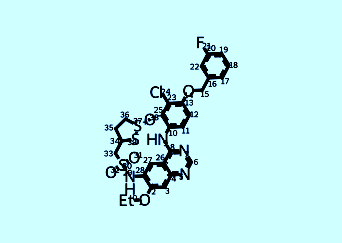 CCOc1cc2ncnc(Nc3ccc(OCc4cccc(F)c4)c(Cl)c3)c2cc1NS(=O)(=O)CC1CC[S+]([O-])S1